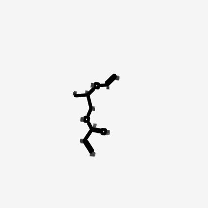 C=COC(C)COC(=O)C=C